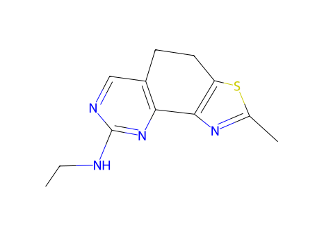 CCNc1ncc2c(n1)-c1nc(C)sc1CC2